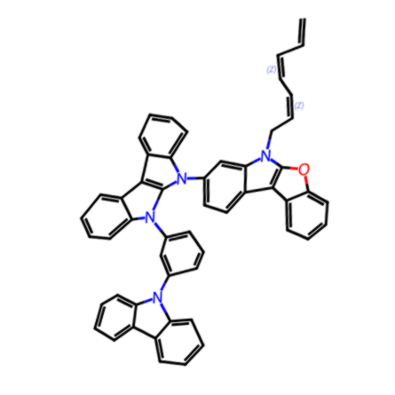 C=C/C=C\C=C/Cn1c2cc(-n3c4ccccc4c4c5ccccc5n(-c5cccc(-n6c7ccccc7c7ccccc76)c5)c43)ccc2c2c3ccccc3oc21